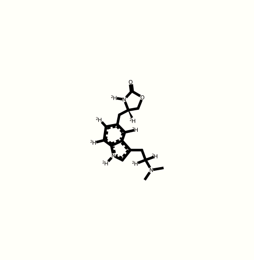 [2H]c1c(C[C@@]2([2H])COC(=O)N2[2H])c([2H])c2c(CC([2H])([2H])N(C)C)cn([2H])c2c1[2H]